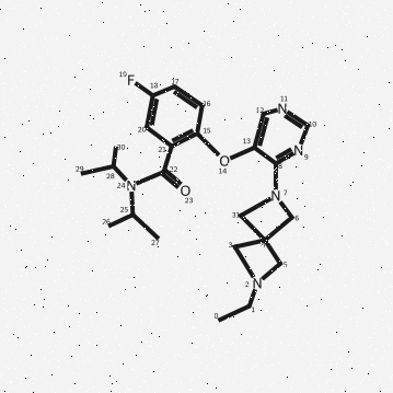 CCN1CC2(C1)CN(c1ncncc1Oc1ccc(F)cc1C(=O)N(C(C)C)C(C)C)C2